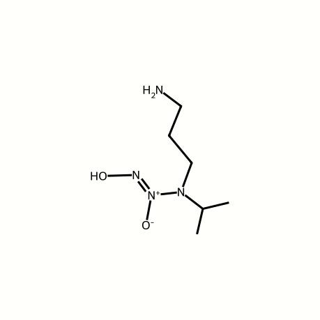 CC(C)N(CCCN)[N+]([O-])=NO